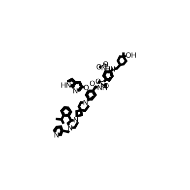 CC(C)c1ccccc1C1CN(Cc2cccnc2)CCN1C1CC2(CCN(c3ccc(C(=O)NS(=O)(=O)c4ccc(NCC5CCC(C)(O)CC5)c([N+](=O)[O-])c4)c(Oc4cnc5[nH]ccc5c4)c3)CC2)C1